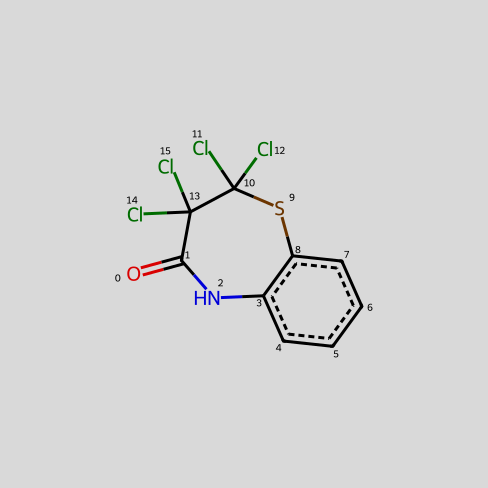 O=C1Nc2ccccc2SC(Cl)(Cl)C1(Cl)Cl